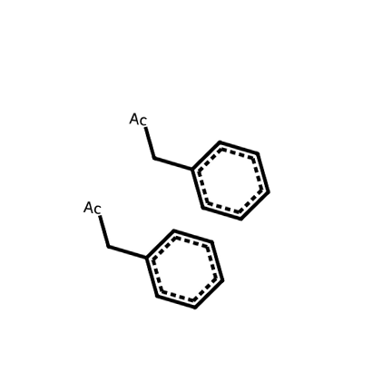 CC(=O)Cc1ccccc1.CC(=O)Cc1ccccc1